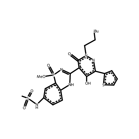 CCC(C)CCn1nc(-c2cccs2)c(O)c(C2=NP(=O)(OC)c3cc(NS(C)(=O)=O)ccc3N2)c1=O